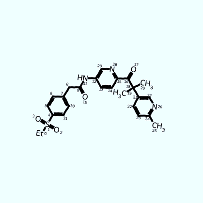 CCS(=O)(=O)c1ccc(CC(=O)Nc2ccc(C(=O)C(C)(C)c3ccc(C)nc3)nc2)cc1